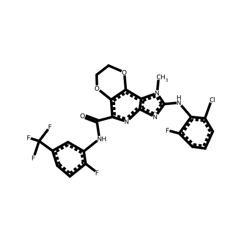 Cn1c(Nc2c(F)cccc2Cl)nc2nc(C(=O)Nc3cc(C(F)(F)F)ccc3F)c3c(c21)OCCO3